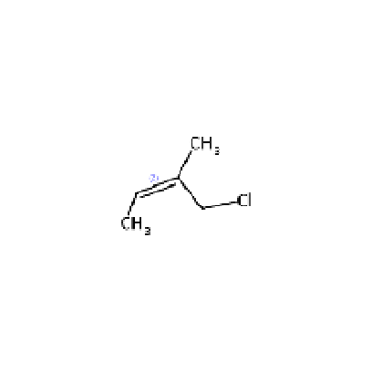 C/C=C(/C)CCl